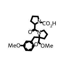 COC(=O)C1(Cc2cccc(OC)c2)CCCN1C(=O)C1CCCN1C(=O)O